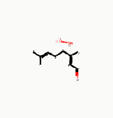 CC(C)=CCCC(C)=CC=O.OO